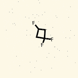 FC1[CH]C(F)(F)C1